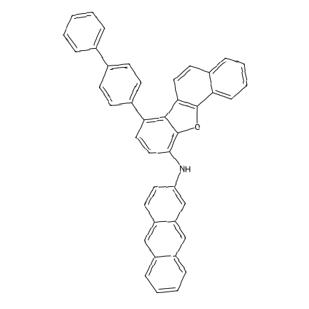 c1ccc(-c2ccc(-c3ccc(Nc4ccc5cc6ccccc6cc5c4)c4oc5c6ccccc6ccc5c34)cc2)cc1